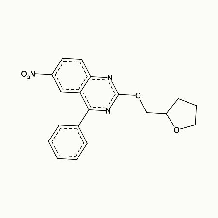 O=[N+]([O-])c1ccc2nc(OCC3CCCO3)nc(-c3ccccc3)c2c1